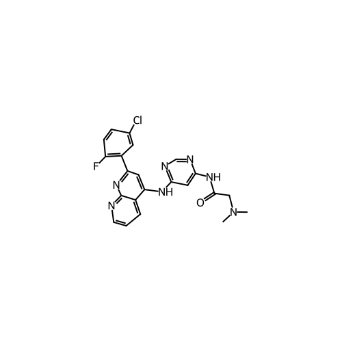 CN(C)CC(=O)Nc1cc(Nc2cc(-c3cc(Cl)ccc3F)nc3ncccc23)ncn1